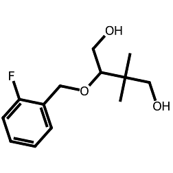 CC(C)(CO)C(CO)OCc1ccccc1F